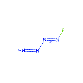 N=N/N=N/F